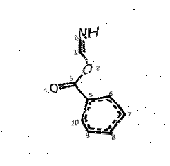 N=COC(=O)c1ccccc1